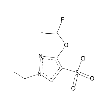 CCn1cc(S(=O)(=O)Cl)c(OC(F)F)n1